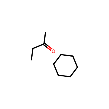 C1CCCCC1.CCC(C)=O